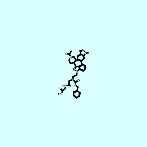 CC(=O)N1CCC(c2nn(CCN(CC(=O)NCC(=O)O)C(=O)OCc3ccccc3)c3cccc(-c4cc5c(cnn5C)cc4F)c23)CC1